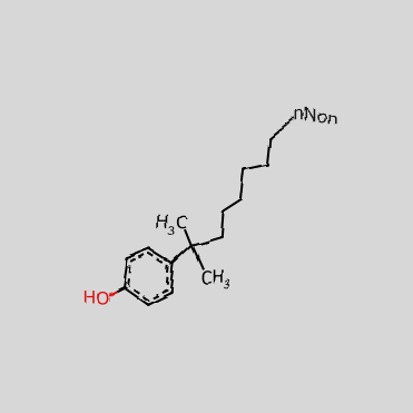 CCCCCCCCCCCCCCCC(C)(C)c1ccc(O)cc1